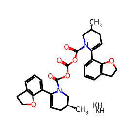 C[C@H]1CC=C(c2cccc3c2OCC3)N(C(=O)OC(=O)OC(=O)N2C[C@@H](C)CC=C2c2cccc3c2OCC3)C1.[KH].[KH]